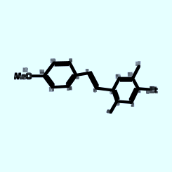 CCc1cc(C)c(/C=C/c2ccc(OC)cc2)cc1C